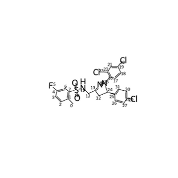 Cc1ccc(F)cc1S(=O)(=O)NCC1=NN(c2ccc(Cl)cc2Cl)[C@@H](c2ccc(Cl)cc2)C1